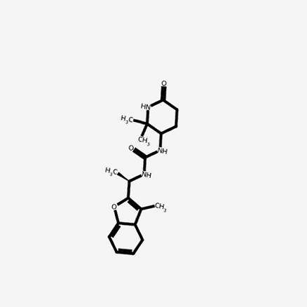 CC1=C([C@@H](C)NC(=O)NC2CCC(=O)NC2(C)C)OC2=CC=CCC21